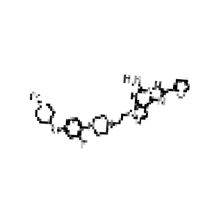 Nc1nc2c(cnn2CCN2CCN(c3ccc(OC4CC[S+]([O-])CC4)cc3F)CC2)c2nc(-c3ccco3)nn12